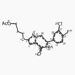 CC(=O)OCCCOc1cc2c(=O)[nH]c(-c3ccc(F)c(Cl)c3)cn2n1